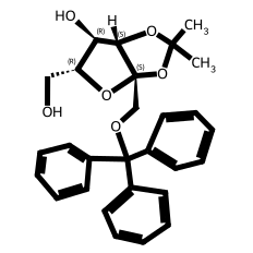 CC1(C)O[C@H]2[C@H](O)[C@@H](CO)O[C@@]2(COC(c2ccccc2)(c2ccccc2)c2ccccc2)O1